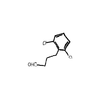 O=CCCCc1c(Cl)cccc1Cl